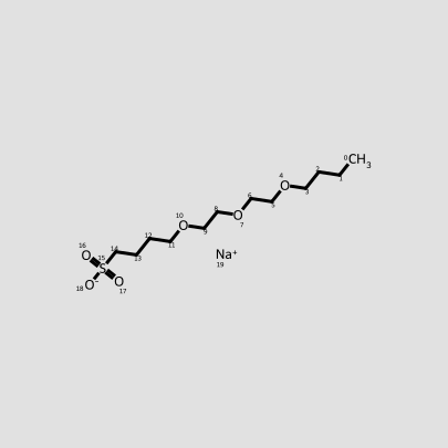 CCCCOCCOCCOCCCCS(=O)(=O)[O-].[Na+]